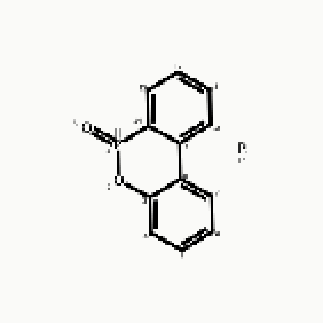 O=[PH]1Oc2ccccc2-c2ccccc21.[P]